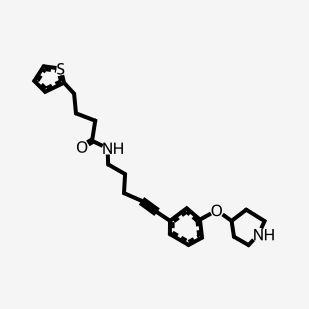 O=C(CCCc1cccs1)NCCCC#Cc1cccc(OC2CCNCC2)c1